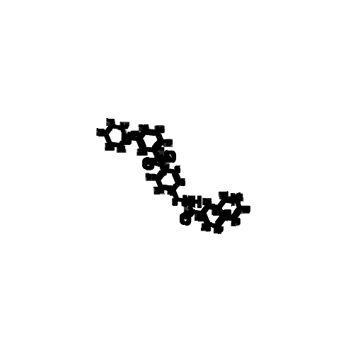 O=C(NCc1ccc(S(=O)(=O)c2cccc(N3CCCCC3)c2)cc1)c1ccc2ccncc2c1